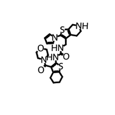 O=C(NCc1c(-n2cccc2)sc2c1CCNC2)Nc1sc2c(c1C(=O)N1CCOCC1)CCCC2